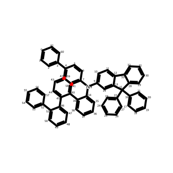 c1ccc(-c2ccc(N(c3ccc4c(c3)C(c3ccccc3)(c3ccccc3)c3ccccc3-4)c3ccccc3-c3ccccc3-c3ccccc3-c3ccccc3)cc2)cc1